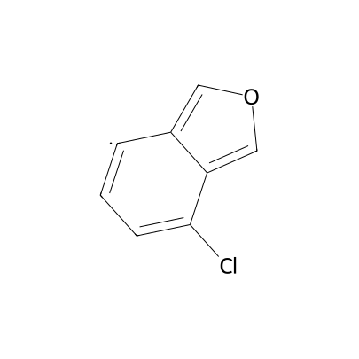 Clc1cc[c]c2cocc12